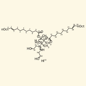 CCCCCCCCC=CCCCCCCCC(=O)OC(C)(C)C(C)(OC(=O)CCCCCCCC=CCCCCCCCC)C(C)(C)N(CCO)NCCO.I